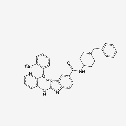 CC(C)(C)c1ccccc1Oc1ncccc1Nc1nc2ccc(C(=O)NC3CCN(Cc4ccccc4)CC3)cc2[nH]1